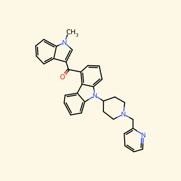 Cn1cc(C(=O)c2cccc3c2c2ccccc2n3C2CCN(Cc3ccccn3)CC2)c2ccccc21